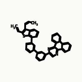 C=Cc1sc2c(-c3cccc(-c4cccc(-c5cnc6c7ccccc7c7ccccc7c6n5)c4)c3)cccc2c1/C=C\C